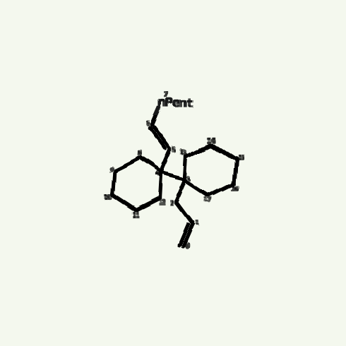 C=CCC1(C2(C=CCCCCC)CCCCC2)CCCCC1